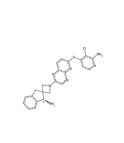 Nc1nccc(Sc2ccc3nc(N4CC5(Cc6ccccc6[C@@H]5N)C4)cnc3n2)c1Cl